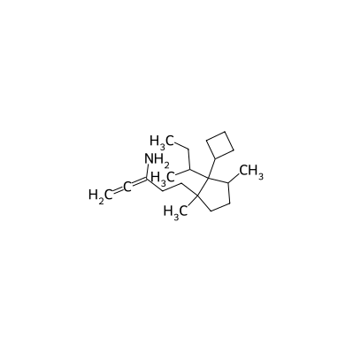 C=C=C(N)CCC1(C)CCC(C)C1(C(C)CC)C1CCC1